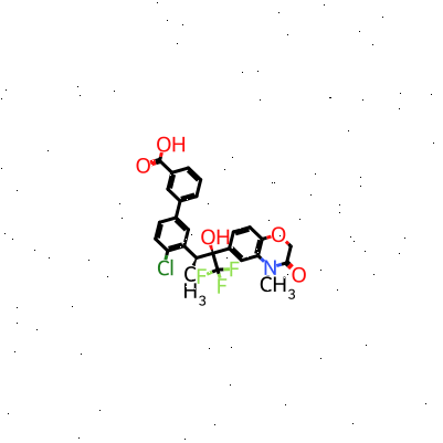 C[C@@H](c1cc(-c2cccc(C(=O)O)c2)ccc1Cl)[C@](O)(c1ccc2c(c1)N(C)C(=O)CO2)C(F)(F)F